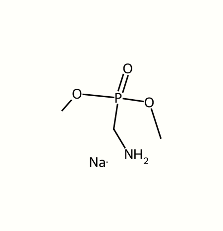 COP(=O)(CN)OC.[Na]